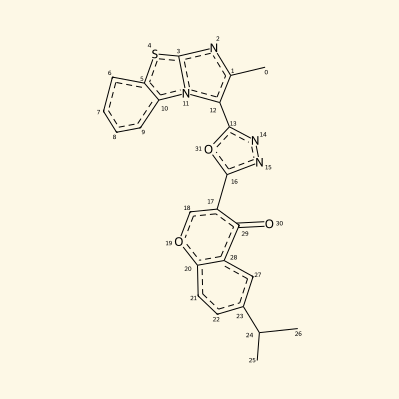 Cc1nc2sc3ccccc3n2c1-c1nnc(-c2coc3ccc(C(C)C)cc3c2=O)o1